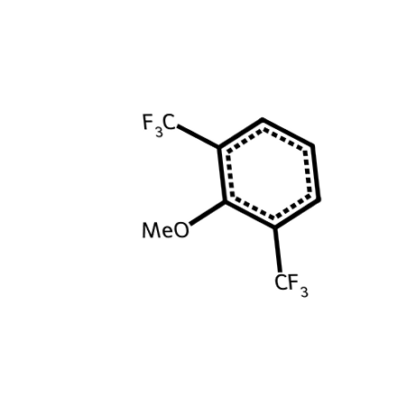 COc1c(C(F)(F)F)cccc1C(F)(F)F